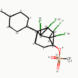 CC1CCC(C23CCC(OS(=O)(=O)C(F)(F)F)(CC2)C(F)(F)C3(F)F)CC1